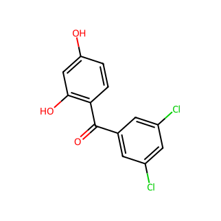 O=C(c1cc(Cl)cc(Cl)c1)c1ccc(O)cc1O